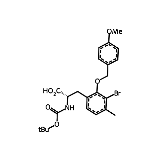 COc1ccc(COc2c(C[C@H](NC(=O)OC(C)(C)C)C(=O)O)ccc(C)c2Br)cc1